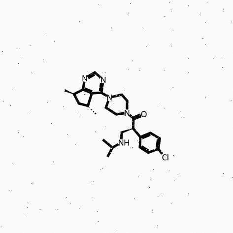 CC(C)NC[C@@H](C(=O)N1CCN(c2ncnc3c2[C@H](C)C[C@H]3C)CC1)c1ccc(Cl)cc1